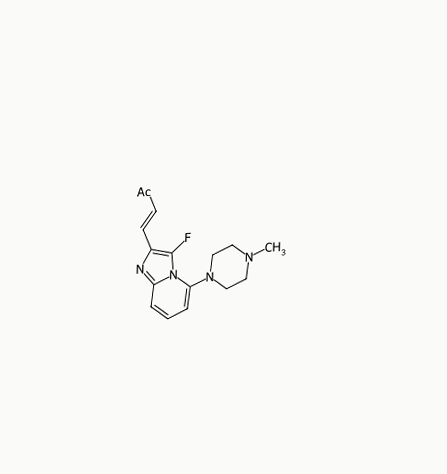 CC(=O)/C=C/c1nc2cccc(N3CCN(C)CC3)n2c1F